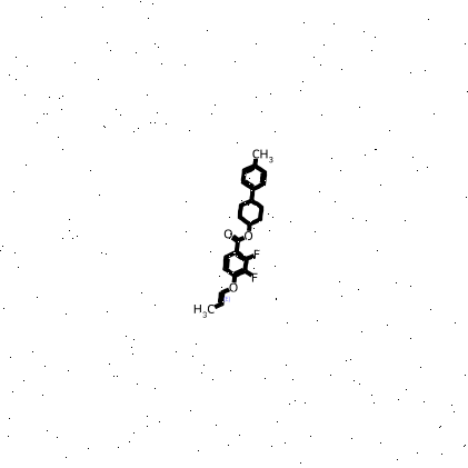 C/C=C/Oc1ccc(C(=O)OC2CCC(c3ccc(C)cc3)CC2)c(F)c1F